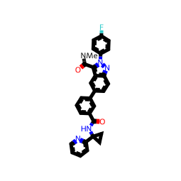 CNC(=O)c1c2cc(-c3cccc(C(=O)NC4(c5ccccn5)CC4)c3)ccc2nn1-c1ccc(F)cc1